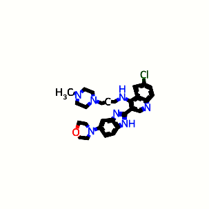 CN1CCN(CCCNc2c(-c3nc4cc(N5CCOCC5)ccc4[nH]3)cnc3ccc(Cl)cc23)CC1